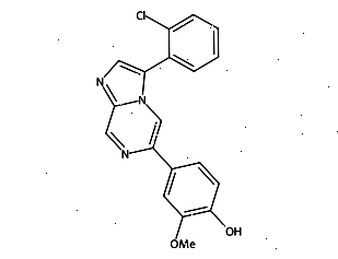 COc1cc(-c2cn3c(-c4ccccc4Cl)cnc3cn2)ccc1O